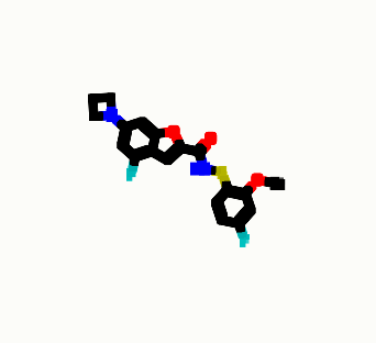 CCOc1cc(F)ccc1SNC(=O)c1cc2c(F)cc(N3CCC3)cc2o1